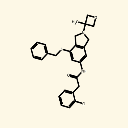 CC1(N2Cc3cc(NC(=O)Cc4ccccc4Cl)cc(SCc4ccccc4)c3C2)COC1